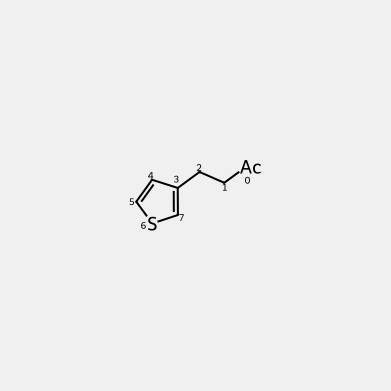 CC(=O)CCc1ccsc1